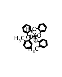 Cc1ccccc1OC(Oc1ccccc1C)(Oc1ccccc1C)Oc1ccccc1C